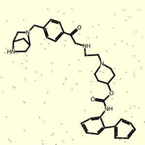 O=C(Nc1ccccc1-c1ccccc1)OC1CCN(CCNCC(=O)c2ccc(CN3CC4CC3CN4)cc2)CC1